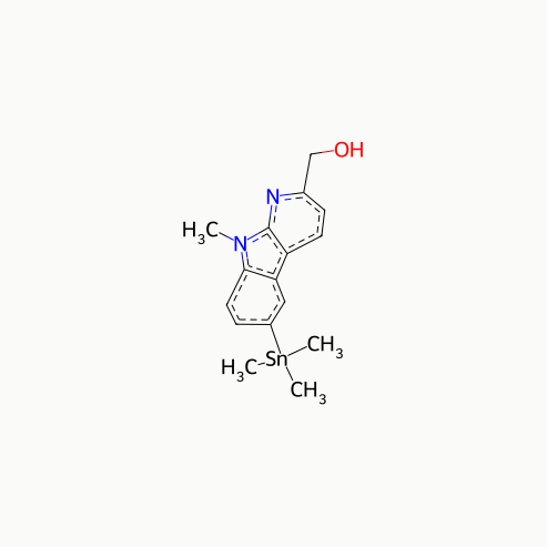 Cn1c2cc[c]([Sn]([CH3])([CH3])[CH3])cc2c2ccc(CO)nc21